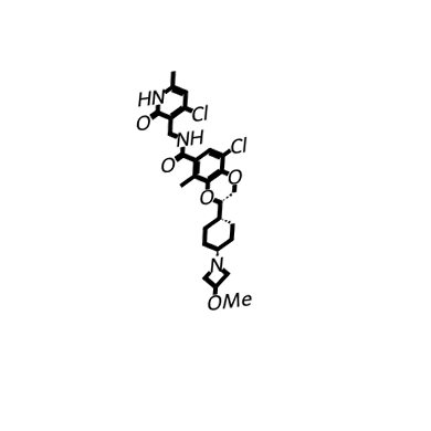 COC1CN([C@H]2CC[C@@H]([C@H]3COc4c(Cl)cc(C(=O)NCc5c(Cl)cc(C)[nH]c5=O)c(C)c4O3)CC2)C1